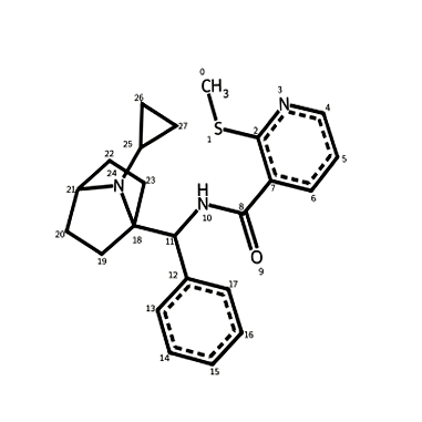 CSc1ncccc1C(=O)NC(c1ccccc1)C12CCC(CC1)N2C1CC1